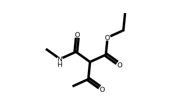 CCOC(=O)C(C(C)=O)C(=O)NC